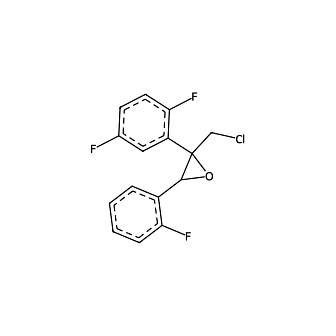 Fc1ccc(F)c(C2(CCl)OC2c2ccccc2F)c1